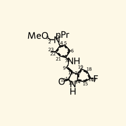 CCCN(COC)c1ccc(N/C=C2/C(=O)Nc3cc(F)ccc32)cc1C